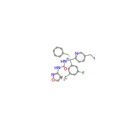 O=C(Nc1ccon1)N[C@](Cc1ccccc1)(c1cc(F)cc(C(F)(F)F)c1)c1ccc(CI)cn1